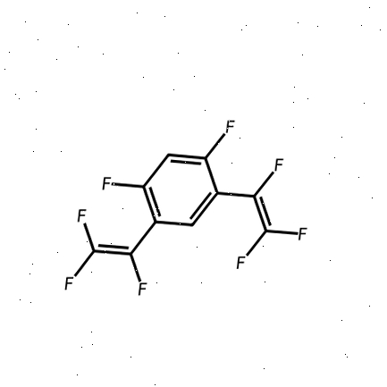 FC(F)=C(F)c1cc(C(F)=C(F)F)c(F)cc1F